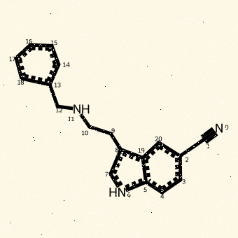 N#Cc1ccc2[nH]cc(CCNCc3ccccc3)c2c1